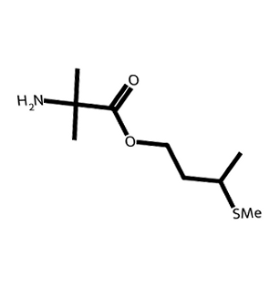 CSC(C)CCOC(=O)C(C)(C)N